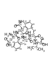 CC(C)[C@H](NC(=O)[C@H](Cc1ccccc1)NC(=O)[C@H](Cc1ccccc1)NC(=O)[C@H](CC(N)=O)NC(=O)[C@@H](N)CC(=O)O)C(=O)O